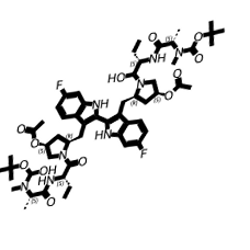 CC[C@H](NC(=O)[C@H](C)N(C)C(O)OC(C)(C)C)C(=O)N1C[C@@H](OC(C)=O)C[C@H]1Cc1c(-c2[nH]c3cc(F)ccc3c2C[C@@H]2C[C@H](OC(C)=O)CN2C(O)[C@H](CC)NC(=O)[C@H](C)N(C)C(=O)OC(C)(C)C)[nH]c2cc(F)ccc12